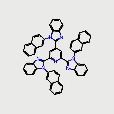 c1ccc2cc(-n3c(-c4cc(-c5nc6ccccc6n5-c5ccc6ccccc6c5)nc(-c5nc6ccccc6n5-c5ccc6ccccc6c5)c4)nc4ccccc43)ccc2c1